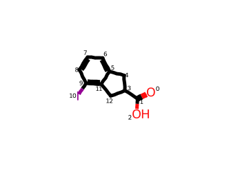 O=C(O)C1Cc2cccc(I)c2C1